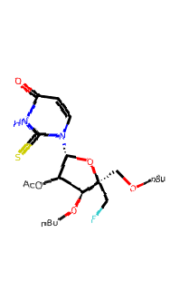 CCCCOC[C@@]1(CF)O[C@@H](n2ccc(=O)[nH]c2=S)C(OC(C)=O)[C@@H]1OCCCC